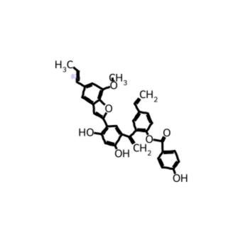 C=Cc1ccc(OC(=O)c2ccc(O)cc2)c(C(=C)c2cc(-c3cc4cc(/C=C/C)cc(OC)c4o3)c(O)cc2O)c1